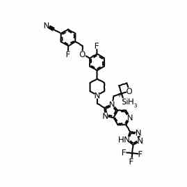 N#Cc1ccc(COc2cc(C3CCN(Cc4nc5cc(-c6nnc(C(F)(F)F)[nH]6)ncc5n4C[C@]4([SiH3])CCO4)CC3)ccc2F)c(F)c1